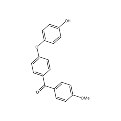 COc1ccc(C(=O)c2ccc(Oc3ccc(O)cc3)cc2)cc1